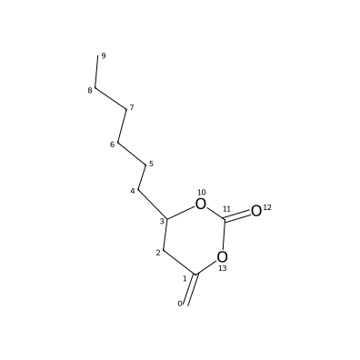 C=C1CC(CCCCCC)OC(=O)O1